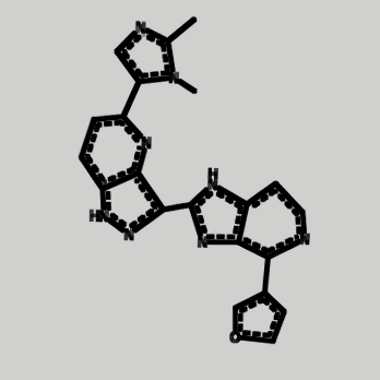 Cc1ncc(-c2ccc3[nH]nc(-c4nc5c(-c6ccoc6)nccc5[nH]4)c3n2)n1C